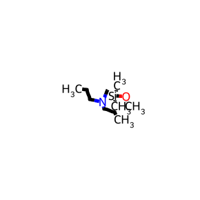 CCCN(CCC)C[Si](C)(C)OC